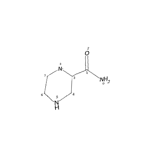 NC(=O)C1CNCC[N]1